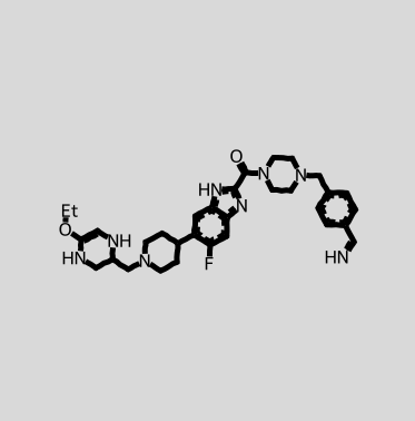 CCOC1=CNC(CN2CCC(c3cc4[nH]c(C(=O)N5CCN(Cc6ccc(C=N)cc6)CC5)nc4cc3F)CC2)CN1